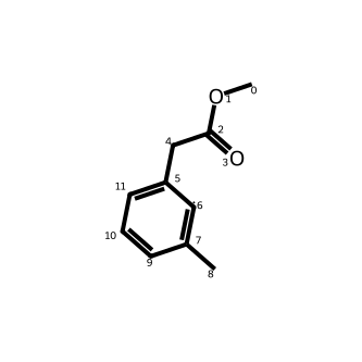 COC(=O)Cc1[c]c(C)ccc1